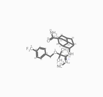 CC(C)(OCc1ccc(C(F)(F)F)cc1)/C(=N\C#N)NC1C2CC3CC1CC(C(N)=O)(C3)C2